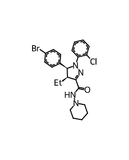 CC[C@@H]1C(C(=O)NN2CCCCC2)=NN(c2ccccc2Cl)[C@@H]1c1ccc(Br)cc1